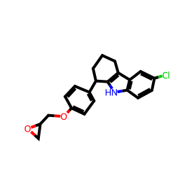 Clc1ccc2[nH]c3c(c2c1)CCCC3c1ccc(OCC2CO2)cc1